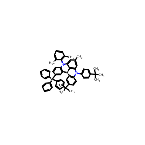 Cc1cc2c3c(c1)N(c1c(C)cccc1C)c1ccc([Si](c4ccccc4)(c4ccccc4)c4ccccc4)cc1B3c1cc(C(C)(C)C)ccc1N2c1ccc(C(C)(C)C)cc1